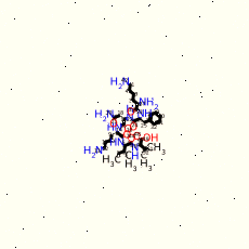 CC[C@H](C)[C@H](NC(=O)[C@H](CCCCN)NC(=O)[C@H](CC(N)=O)NC(=O)[C@H](Cc1ccccc1)NC(=O)[C@@H](N)CCCCN)C(=O)N[C@H](C(=O)O)C(C)C